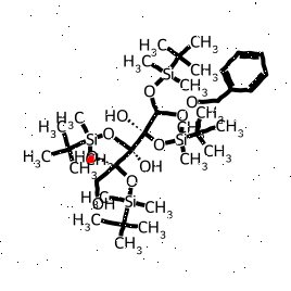 CC(C)(C)[Si](C)(C)OC(OOCc1ccccc1)[C@@](O)(O[Si](C)(C)C(C)(C)C)[C@](O)(O[Si](C)(C)C(C)(C)C)[C@](O)(CO)O[Si](C)(C)C(C)(C)C